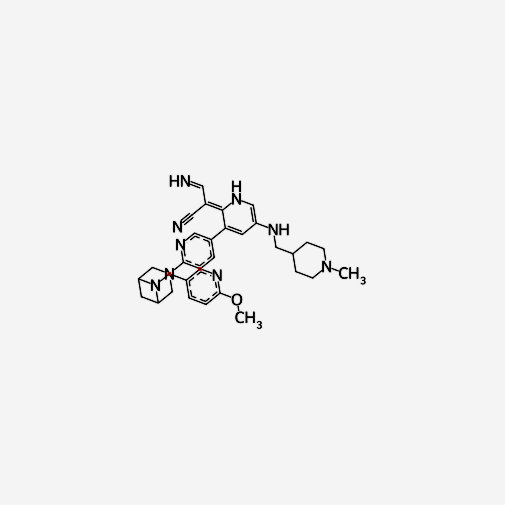 COc1ccc(CN2C3CC2CN(c2ccc(C4=CC(NCC5CCN(C)CC5)=CN/C4=C(/C#N)C=N)cn2)C3)cn1